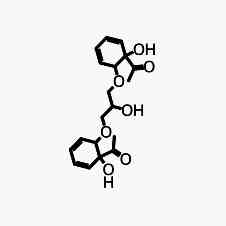 CC(=O)C1(O)C=CC=CC1OCC(O)COC1C=CC=CC1(O)C(C)=O